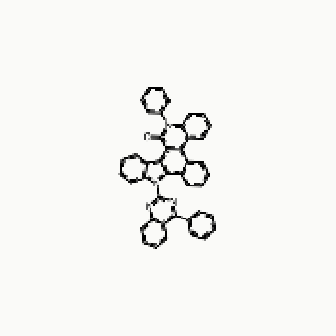 O=c1c2c(c3ccccc3c3c2c2ccccc2n3-c2nc(-c3ccccc3)c3ccccc3n2)c2ccccc2n1-c1ccccc1